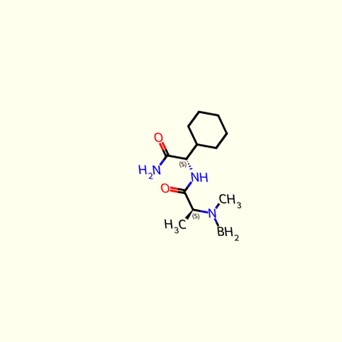 BN(C)[C@@H](C)C(=O)N[C@H](C(N)=O)C1CCCCC1